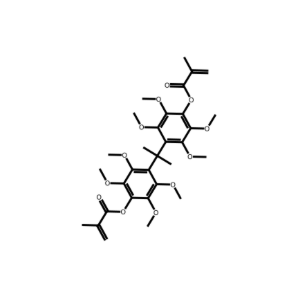 C=C(C)C(=O)Oc1c(OC)c(OC)c(C(C)(C)c2c(OC)c(OC)c(OC(=O)C(=C)C)c(OC)c2OC)c(OC)c1OC